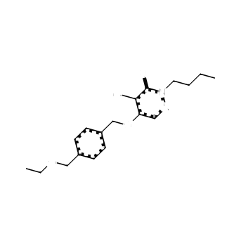 CCCCn1ncc(OCc2ccc(COCC)cc2)c(Cl)c1=O